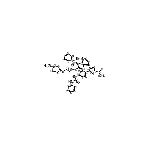 CC(I)n1cc(-c2ccnc3c2cc(CNCCCN2CCN(C)CC2)n3S(=O)(=O)c2ccccc2)c(-c2ccc(NC(=O)Nc3ccccc3)cc2)n1